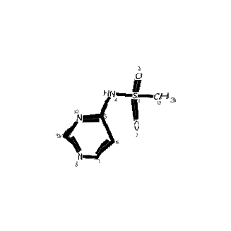 CS(=O)(=O)Nc1ccncn1